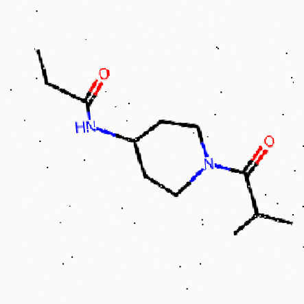 CCC(=O)NC1CCN(C(=O)C(C)C)CC1